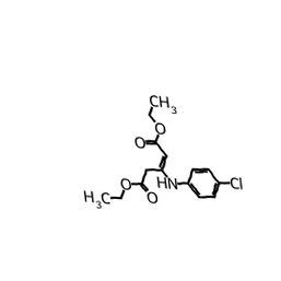 CCOC(=O)C=C(CC(=O)OCC)Nc1ccc(Cl)cc1